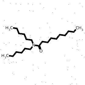 CCCCCCCCCC(=O)N(CCCCCC)CCCCCC